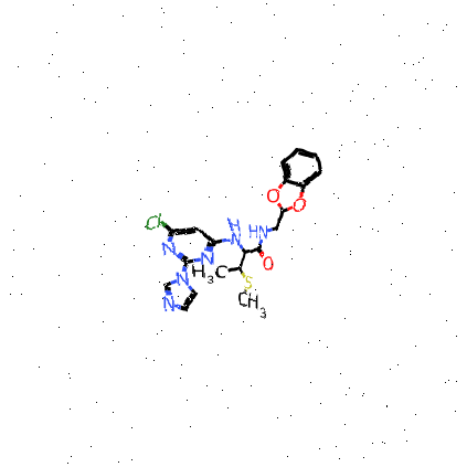 CSC(C)C(Nc1cc(Cl)nc(-n2ccnc2)n1)C(=O)NCC1Oc2ccccc2O1